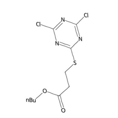 CCCCOC(=O)CCSc1nc(Cl)nc(Cl)n1